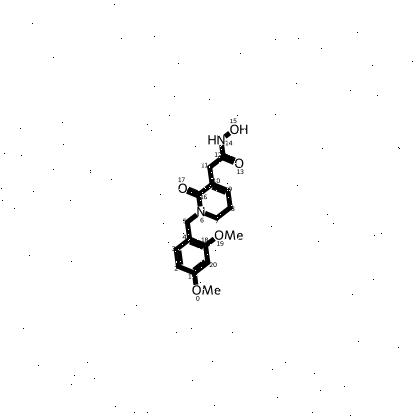 COc1ccc(CN2CCC=C(CC(=O)NO)C2=O)c(OC)c1